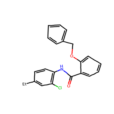 CCc1ccc(NC(=O)c2ccccc2OCc2ccccc2)c(Cl)c1